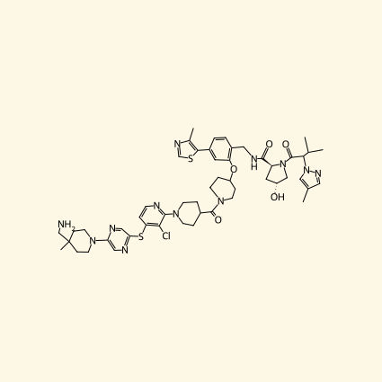 Cc1cnn(C(C(=O)N2C[C@H](O)C[C@H]2C(=O)NCc2ccc(-c3scnc3C)cc2OC2CCN(C(=O)C3CCN(c4nccc(Sc5cnc(N6CCC(C)(CN)CC6)cn5)c4Cl)CC3)CC2)C(C)C)c1